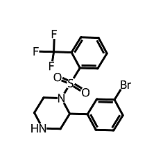 O=S(=O)(c1ccccc1C(F)(F)F)N1CCNCC1c1cccc(Br)c1